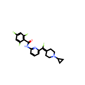 O=C(Nc1cccc(C(F)=C2CCN(C3CC3)CC2)n1)c1c(F)cc(F)cc1F